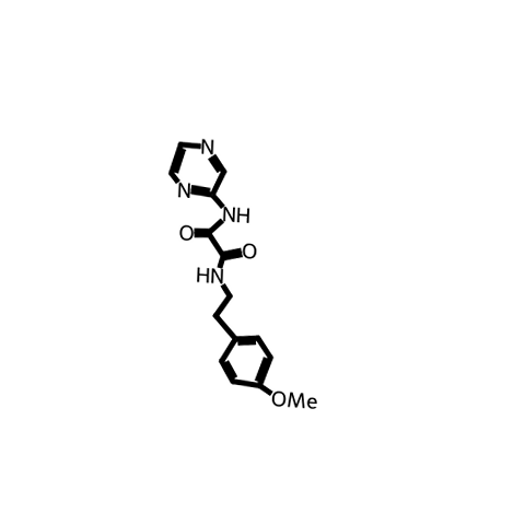 COc1ccc(CCNC(=O)C(=O)Nc2cnccn2)cc1